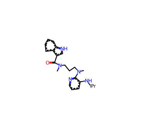 CC(C)Nc1cccnc1N(C)CCCN(C)C(=O)c1c[nH]c2ccccc12